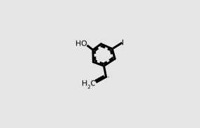 C=[C]c1cc(O)cc(I)c1